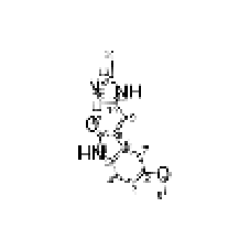 COc1ccc2c(c1)/C(=C/c1cnc(C)[nH]1)C(=O)N2